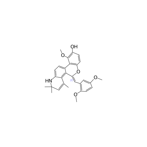 COc1ccc(OC)c(/C=C2\Oc3ccc(O)c(OC)c3-c3ccc4c(c32)C(C)=CC(C)(C)N4)c1